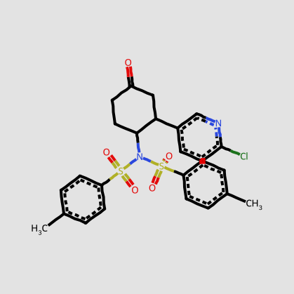 Cc1ccc(S(=O)(=O)N(C2CCC(=O)CC2c2ccc(Cl)nc2)S(=O)(=O)c2ccc(C)cc2)cc1